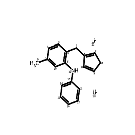 Cc1ccc(CC2=CCC=C2)c(Nc2ccccc2)c1.[Li].[Li]